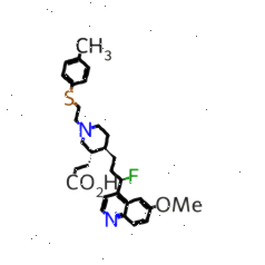 COc1ccc2nccc([C@H](F)CC[C@@H]3CCN(CCSc4ccc(C)cc4)C[C@H]3CCC(=O)O)c2c1